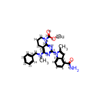 Cc1cc2c(C(N)=O)cccc2n1-c1nc(N(C)Cc2ccccc2)c2c(n1)N(C(=O)OC(C)(C)C)CCC2